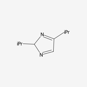 CC(C)C1=NC(C(C)C)N=C1